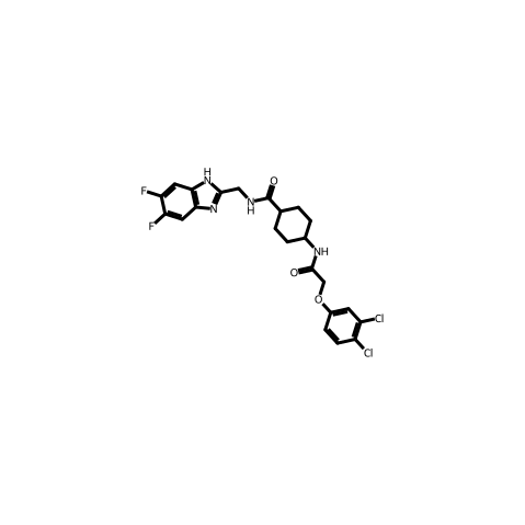 O=C(COc1ccc(Cl)c(Cl)c1)NC1CCC(C(=O)NCc2nc3cc(F)c(F)cc3[nH]2)CC1